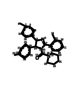 Cc1ccc(C2N=C(c3ccccc3C)N(C(=O)N3CCCCC3)C2c2ccc(C)cc2)cc1